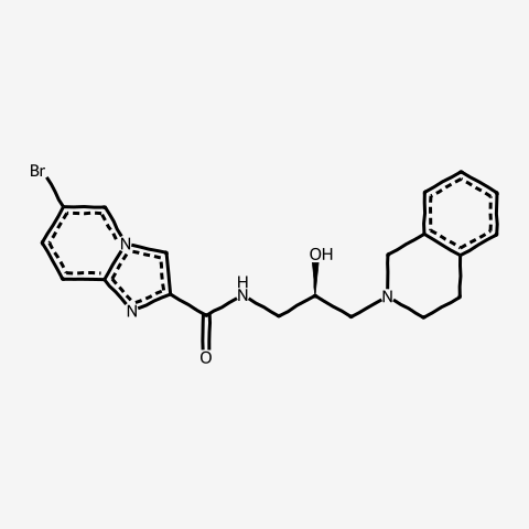 O=C(NC[C@@H](O)CN1CCc2ccccc2C1)c1cn2cc(Br)ccc2n1